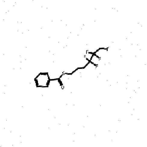 O=C(SCCCC(F)(F)C(F)(F)CF)c1ccccc1